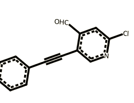 O=Cc1cc(Cl)ncc1C#Cc1ccccc1